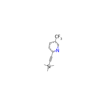 C[Si](C)(C)C#Cc1ccc(C(F)(F)F)cn1